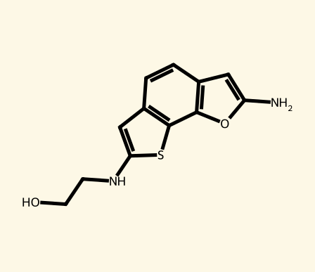 Nc1cc2ccc3cc(NCCO)sc3c2o1